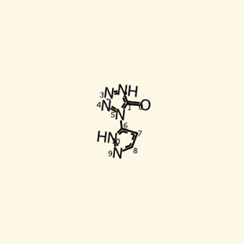 O=c1[nH]nnn1-c1ccn[nH]1